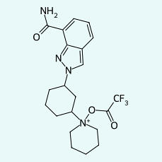 NC(=O)c1cccc2cn(C3CCCC([N+]4(OC(=O)C(F)(F)F)CCCCC4)C3)nc12